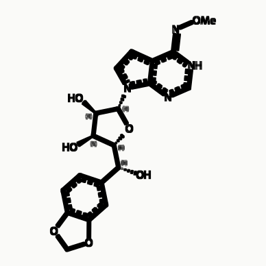 CON=c1[nH]cnc2c1ccn2[C@@H]1O[C@H]([C@H](O)c2ccc3c(c2)OCO3)[C@@H](O)[C@H]1O